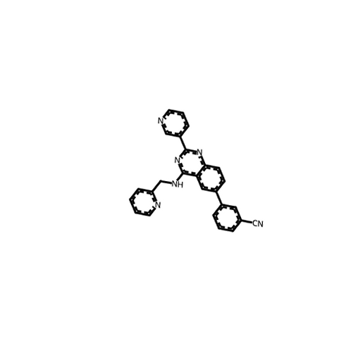 N#Cc1cccc(-c2ccc3nc(-c4cccnc4)nc(NCc4ccccn4)c3c2)c1